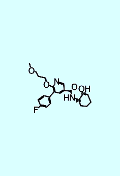 COCCCOc1ncc(C(=O)N[C@@H]2CCCC[C@H]2O)cc1-c1ccc(F)cc1